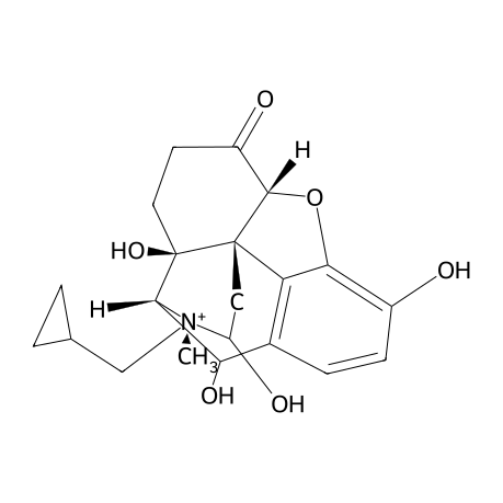 C[N@+]1(CC2CC2)C(O)C[C@]23c4c5ccc(O)c4O[C@H]2C(=O)CC[C@@]3(O)[C@H]1C5O